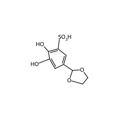 O=S(=O)(O)c1cc(C2OCCO2)cc(O)c1O